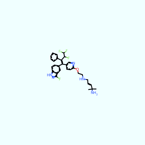 CC(C)(N)C=CCNCCOc1ccc(/C(=C(/c2ccccc2)C(F)C(F)F)c2ccc3[nH]nc(F)c3c2)cn1